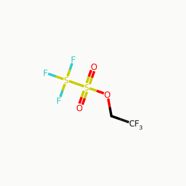 O=S(=O)(OCC(F)(F)F)S(F)(F)F